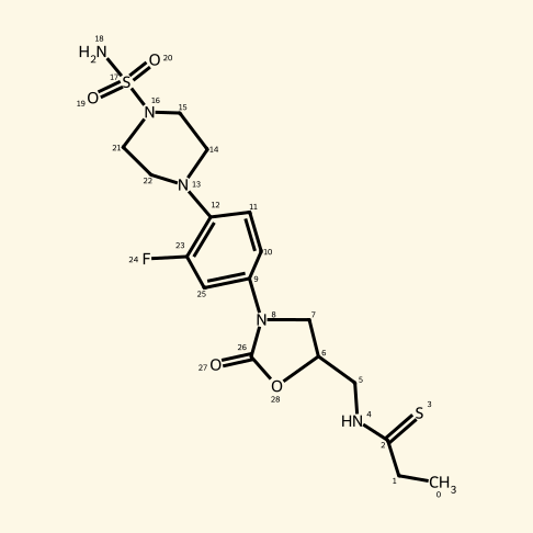 CCC(=S)NCC1CN(c2ccc(N3CCN(S(N)(=O)=O)CC3)c(F)c2)C(=O)O1